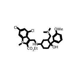 CCOC(=O)c1c(CNC2CCC(O)(c3cccc(OC)c3)C(CN(C)C)C2)c2c(Cl)cc(Cl)cc2n1C